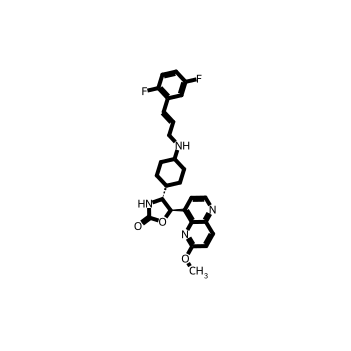 COc1ccc2nccc([C@H]3OC(=O)N[C@@H]3C3CCC(NCC=Cc4cc(F)ccc4F)CC3)c2n1